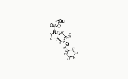 CC(C)(C)OC(=O)N1CCc2cc(OCc3ccccc3)c(F)cc21